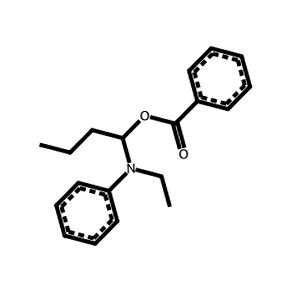 CCCC(OC(=O)c1ccccc1)N(CC)c1ccccc1